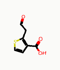 O=CCc1sccc1C(=O)O